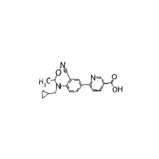 CC(=O)N(CC1CC1)c1ccc(-c2ccc(C(=O)O)cn2)cc1C#N